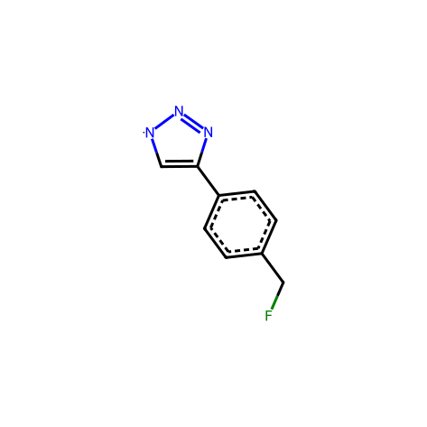 FCc1ccc(C2=C[N]N=N2)cc1